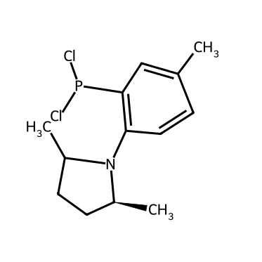 Cc1ccc(N2C(C)CC[C@@H]2C)c(P(Cl)Cl)c1